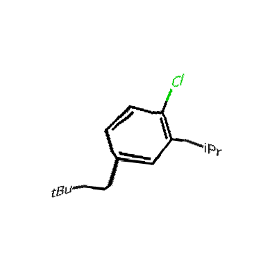 CC(C)c1cc(CC(C)(C)C)ccc1Cl